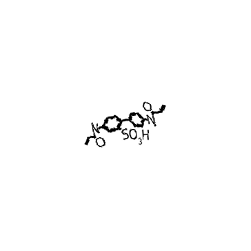 C=CC(=O)N(C)c1ccc(-c2ccc(N(C)C(=O)C=C)cc2S(=O)(=O)O)cc1